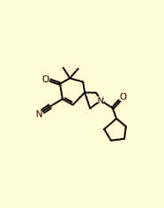 CC1(C)CC2(C=C(C#N)C1=O)CN(C(=O)C1CCCC1)C2